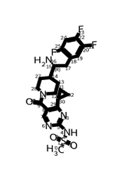 CS(=O)(=O)Nc1ncc(C(=O)N2CCC([C@H](N)Cc3cc(F)c(F)cc3F)CC2)c(C2CC2)n1